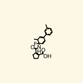 Cc1cccc(C2=CC(C)C(F)(NC(=O)C3=C(C(=O)O)CCC3)C=C2)c1